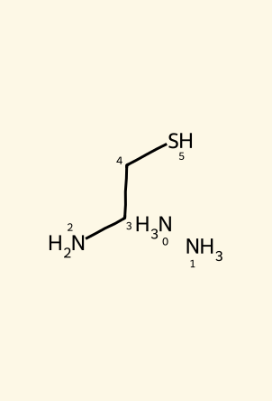 N.N.NCCS